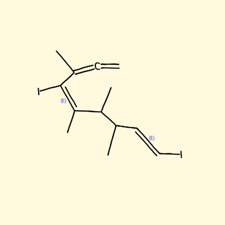 C=C=C(C)/C(I)=C(/C)C(C)C(C)/C=C/I